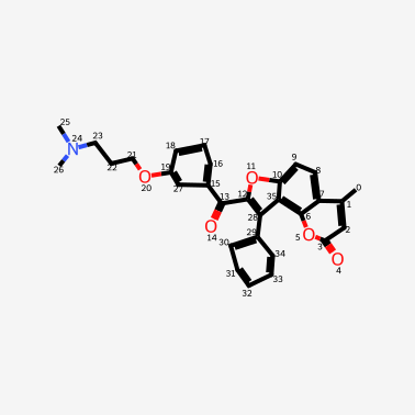 Cc1cc(=O)oc2c1ccc1oc(C(=O)c3cccc(OCCCN(C)C)c3)c(-c3ccccc3)c12